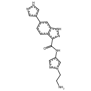 NCCn1cc(NC(=O)c2n[nH]c3cc(-c4cn[nH]c4)ccc23)cn1